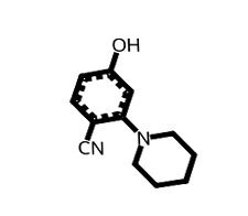 N#Cc1ccc(O)cc1N1CCCCC1